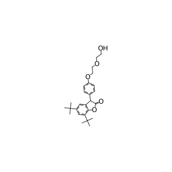 CC(C)(C)c1cc2c(c(C(C)(C)C)c1)OC(=O)C2c1ccc(OCCOCCO)cc1